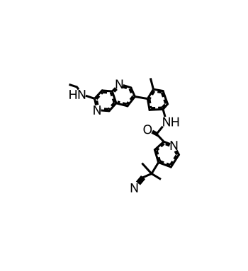 CCNc1cc2ncc(-c3cc(NC(=O)c4cc(C(C)(C)C#N)ccn4)ccc3C)cc2cn1